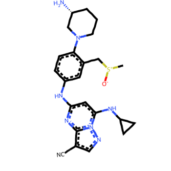 C[S+]([O-])Cc1cc(Nc2cc(NC3CC3)n3ncc(C#N)c3n2)ccc1N1CCC[C@@H](N)C1